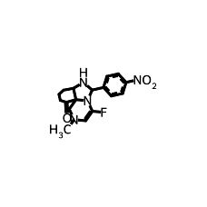 CN1C=C(F)N2C(c3ccc([N+](=O)[O-])cc3)NC3CCCC(=O)C32C1